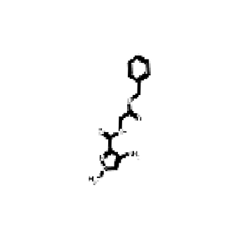 Cn1cc(N)c(C(=O)NCC(=O)OCc2ccccc2)n1